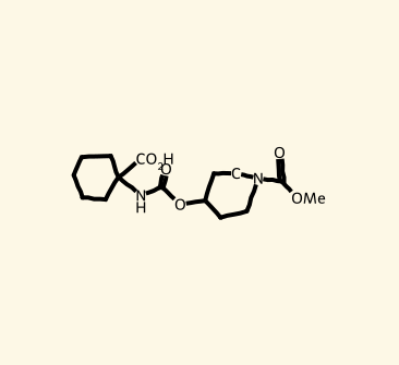 COC(=O)N1CCC(OC(=O)NC2(C(=O)O)CCCCC2)CC1